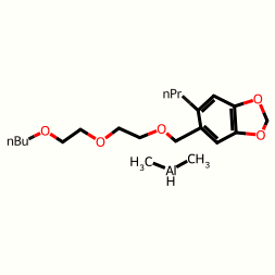 CCCCOCCOCCOCc1cc2c(cc1CCC)OCO2.[CH3][AlH][CH3]